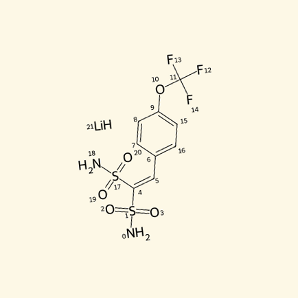 NS(=O)(=O)C(=Cc1ccc(OC(F)(F)F)cc1)S(N)(=O)=O.[LiH]